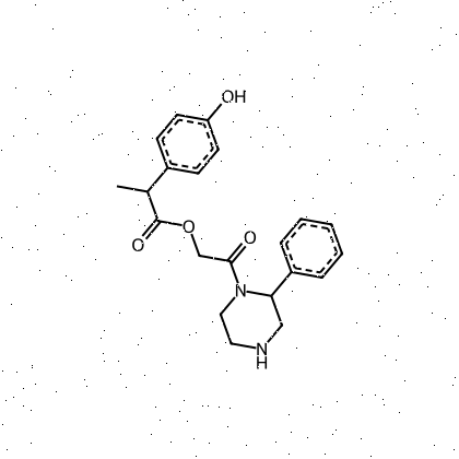 CC(C(=O)OCC(=O)N1CCNCC1c1ccccc1)c1ccc(O)cc1